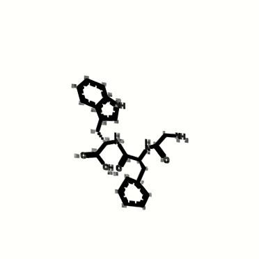 NCC(=O)N[C@@H](Cc1ccccc1)C(=O)N[C@@H](Cc1c[nH]c2ccccc12)C(=O)O